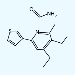 CCc1cc(-c2ccsc2)nc(C)c1CC.NC=O